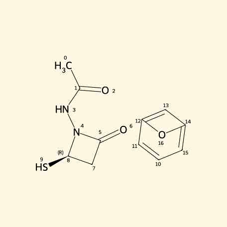 CC(=O)NN1C(=O)C[C@H]1S.c1cc2cc(c1)O2